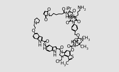 Cc1csc2c(OC(=O)N(C)CC(C)(C)CN(C)C(=O)OCc3ccc(N(C(N)=O)C(=O)[C@H](CCCN)NC(=O)[C@@H](NC(=O)CCCCCN4C(=O)C=CC4=O)C(C)C)cc3)cc3c(c12)[C@@H](CCl)CN3C(=O)c1cc2cc(NC(=O)c3cc4cc(OCCN5CCCC5)ccc4[nH]3)ccc2[nH]1